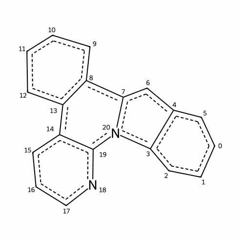 c1ccc2c(c1)cc1c3ccccc3c3cccnc3n21